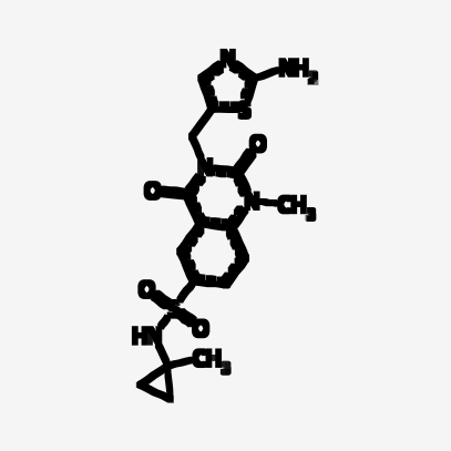 Cn1c(=O)n(Cc2cnc(N)s2)c(=O)c2cc(S(=O)(=O)NC3(C)CC3)ccc21